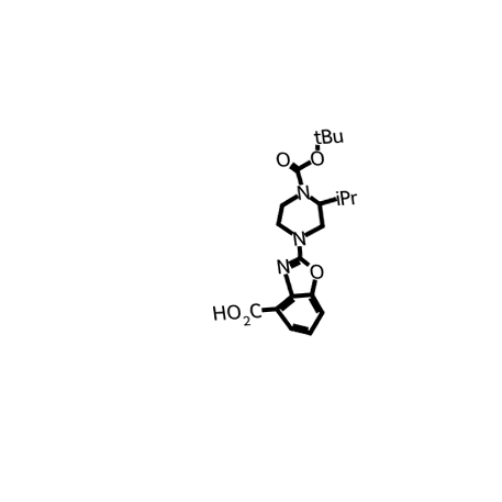 CC(C)C1CN(c2nc3c(C(=O)O)cccc3o2)CCN1C(=O)OC(C)(C)C